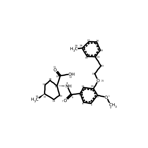 COc1ccc(C(=O)N[C@]2(C(=O)O)CC[C@@H](C)CC2)cc1OCCc1cccc(C)c1